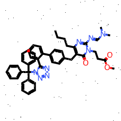 CCCCc1nc(N=CN(C)C)n(CCC(=O)OC)c(=O)c1Cc1ccc(-c2ccccc2-c2nnnn2C(c2ccccc2)(c2ccccc2)c2ccccc2)cc1